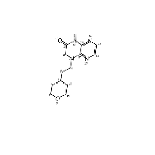 O=C1CN(CCC2CCOCC2)c2nccnc2N1